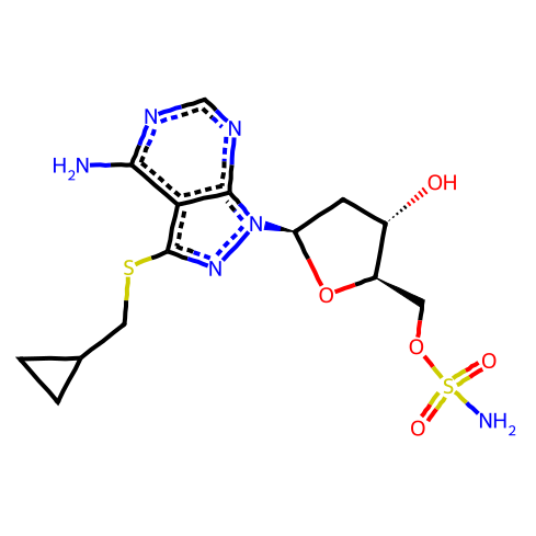 Nc1ncnc2c1c(SCC1CC1)nn2[C@H]1C[C@H](O)[C@@H](COS(N)(=O)=O)O1